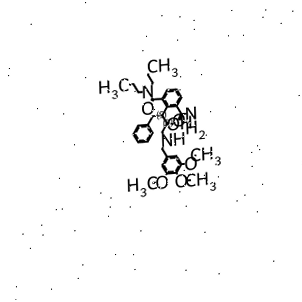 CCCN(CCC)C(=O)c1cccc(C(N)=O)c1[C@H](Cc1ccccc1)[C@@H](O)CNCc1cc(OC)c(OC)c(OC)c1